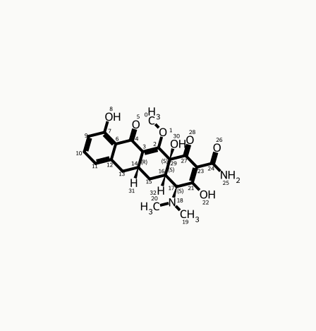 COC1=C2C(=O)c3c(O)cccc3C[C@H]2C[C@H]2[C@H](N(C)C)C(O)=C(C(N)=O)C(=O)[C@@]12O